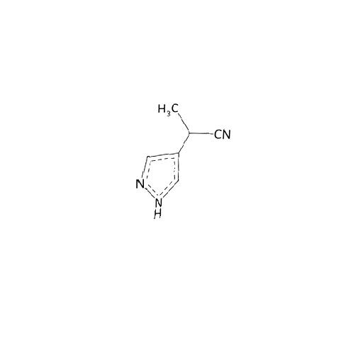 CC(C#N)c1cn[nH]c1